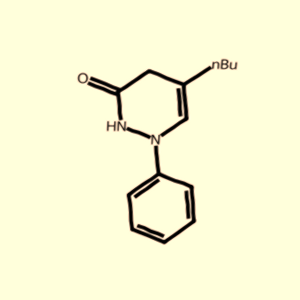 CCCCC1=CN(c2ccccc2)NC(=O)C1